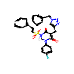 CCN(C(=O)C(Cc1cn(Cc2ccccc2)nn1)C(=O)NS(=O)(=O)/C=C/c1ccccc1)c1ccc(F)cc1